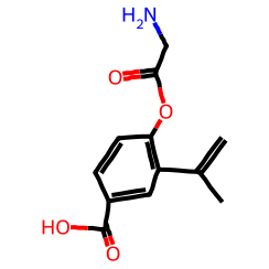 C=C(C)c1cc(C(=O)O)ccc1OC(=O)CN